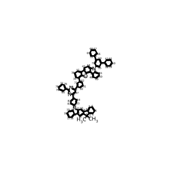 CC1(C)c2ccccc2-c2cc3c(cc21)c1ccccc1n3-c1ccc(-c2cc(-c3cccc(-c4cccc5c4oc4c5ccc5c4c4ccccc4n5-c4cc(-c5ccccc5)cc(-c5ccccc5)c4)c3)nc(-c3ccccc3)n2)cc1